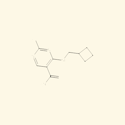 NC(=O)c1cnc(Cl)nc1NCC1CCC1